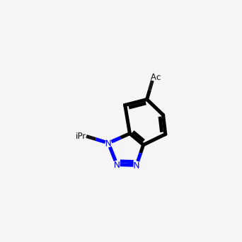 CC(=O)c1ccc2nnn(C(C)C)c2c1